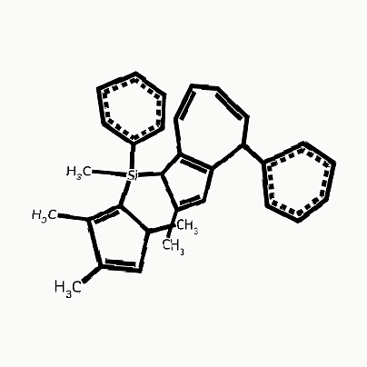 CC1=CC(C)C([Si](C)(c2ccccc2)C2C(C)=CC3=C2C=CC=CC3c2ccccc2)=C1C